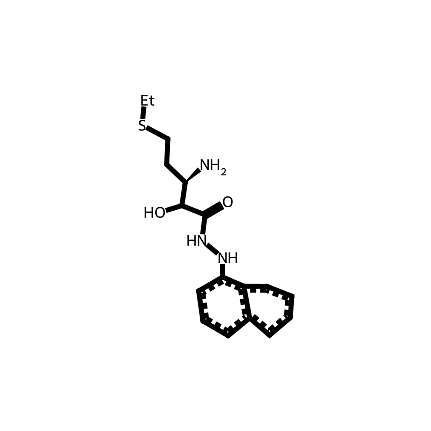 CCSCC[C@@H](N)C(O)C(=O)NNc1cccc2ccccc12